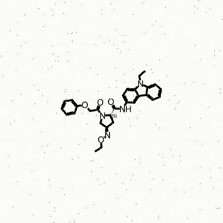 CCON=C1C[C@@H](C(=O)Nc2ccc3c(c2)c2ccccc2n3CC)N(C(=O)COc2ccccc2)C1